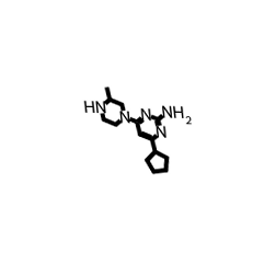 CC1CN(c2cc(C3CCCC3)nc(N)n2)CCN1